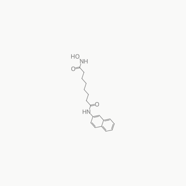 O=C(CCCCCCC(=O)Nc1ccc2ccccc2c1)NO